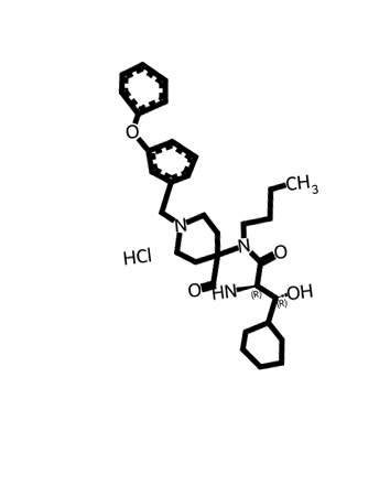 CCCCN1C(=O)[C@@H]([C@H](O)C2CCCCC2)NC(=O)C12CCN(Cc1cccc(Oc3ccccc3)c1)CC2.Cl